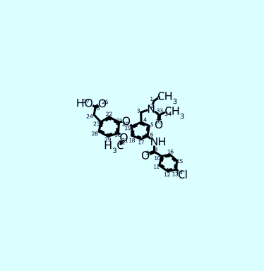 CCN(Cc1cc(NC(=O)c2ccc(Cl)cc2)ccc1Oc1cc(CC(=O)O)ccc1OC)C(C)=O